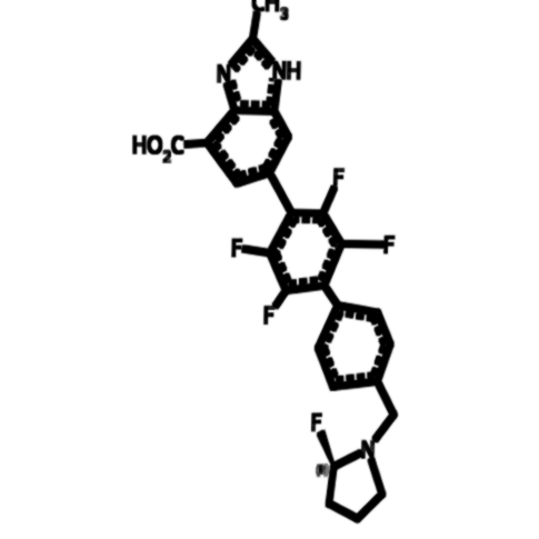 Cc1nc2c(C(=O)O)cc(-c3c(F)c(F)c(-c4ccc(CN5CCC[C@H]5F)cc4)c(F)c3F)cc2[nH]1